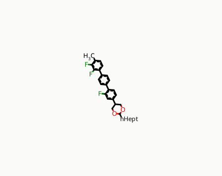 CCCCCCCC1OCC(c2ccc(-c3ccc(-c4ccc(C)c(F)c4F)cc3)c(F)c2)CO1